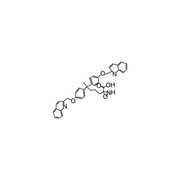 CC(CCCC1(C(=O)O)NO1)(c1ccc(OCc2ccc3ccccc3n2)cc1)c1ccc(OCc2ccc3ccccc3n2)cc1